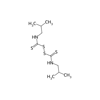 CC(C)CNC(=S)SSC(=S)NCC(C)C